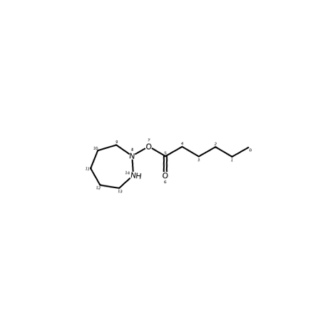 CCCCCC(=O)ON1CCCCCN1